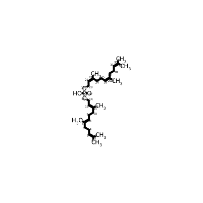 CC(C)=CCCC(C)=CCCC(C)=CCOP(=O)(O)OCC=C(C)CCC=C(C)CCC=C(C)C